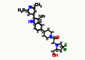 Cc1cc(-c2[nH]c3ccc(C4CCN(C(=O)CN5CC(F)(F)CC5CO)CC4)cc3c2C(C)C)cc(C)n1